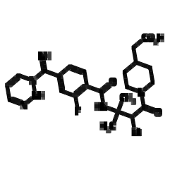 CCC(C(=O)N1CCC(CC(=O)O)CC1)C(C)(C)NC(=O)c1ccc(C(=N)N2C=CC=NN2)cc1F